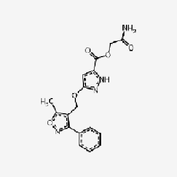 Cc1onc(-c2ccccc2)c1COc1cc(C(=O)OCC(N)=O)[nH]n1